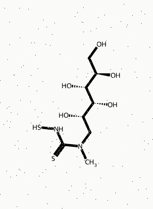 CN(C[C@H](O)[C@@H](O)[C@H](O)[C@H](O)CO)C(=S)NS